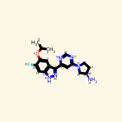 CC(C)Oc1cc2c(-c3cc(N4CC[C@@H](N)C4)ncn3)n[nH]c2cc1F